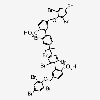 CC(CBr)(c1ccc(-c2cc(COc3c(Br)cc(Br)cc3Br)ccc2C(=O)O)c(Br)c1)c1cc(Br)c(-c2cc(COc3c(Br)cc(Br)cc3Br)ccc2C(=O)O)c(Br)c1